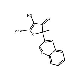 CC(=O)NC1=C(O)C(=O)C(C)(c2cnc3ccccc3c2)O1